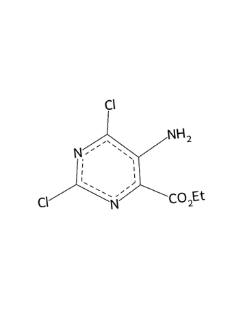 CCOC(=O)c1nc(Cl)nc(Cl)c1N